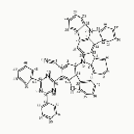 N#Cc1cc(-n2c3ccccc3c3c4c5ccccc5n5c6ccccc6c(cc32)c45)c2c(oc3ccccc32)c1-c1nc(-c2ccccc2)nc(-c2ccccc2)n1